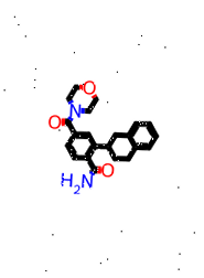 NC(=O)c1ccc(C(=O)N2CCOCC2)cc1C1CCc2ccccc2C1